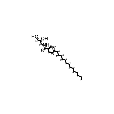 CCCCCCCCCCCCCCc1ccc(C(=O)NCC(O)CO)cn1